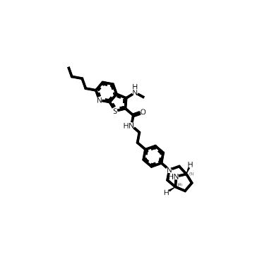 CCCCc1ccc2c(NC)c(C(=O)NCCc3ccc(N4C[C@H]5CC[C@@H](C4)N5)cc3)sc2n1